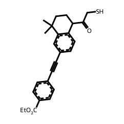 CCOC(=O)c1ccc(C#Cc2ccc3c(c2)C(C)(C)CCC3C(=O)CS)cc1